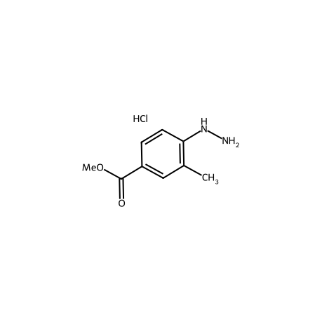 COC(=O)c1ccc(NN)c(C)c1.Cl